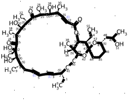 CC[C@@H]1/C=C/C=C/C[C@H](C)[C@@H](O)[C@](C)(O)C(=O)[C@H](C)[C@@H](O)[C@H](C)C(=O)[C@H](C)[C@@H](O)[C@H](C)/C=C/C(=O)OC2[C@@H](C)C(CC1)OC1(CCC[C@@H](CC(C)O)O1)[C@@H]2CC